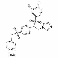 COc1ccc(CS(=O)(=O)c2ccc(C(Cn3ccnc3)S(=O)(=O)c3ccc(Cl)c(Cl)c3)cc2)cc1